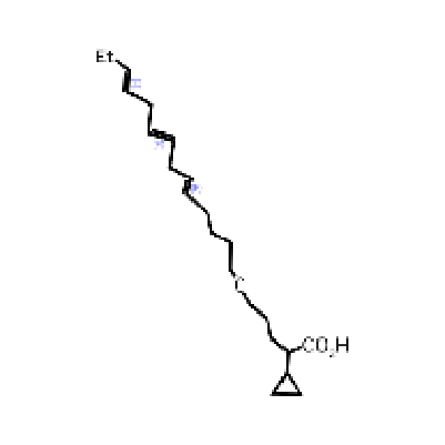 CC/C=C/C/C=C/C/C=C/CCCCCCCCC(C(=O)O)C1CC1